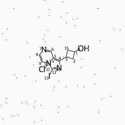 OC1CC(C2=C3C=NC=C[N+]3(Cl)C(I)=N2)C1